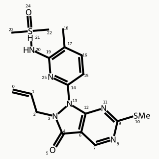 C=CCn1c(=O)c2cnc(SC)nc2n1-c1ccc(C)c(N[SH](C)(C)=O)n1